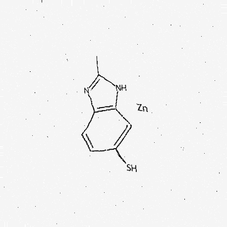 Cc1nc2ccc(S)cc2[nH]1.[Zn]